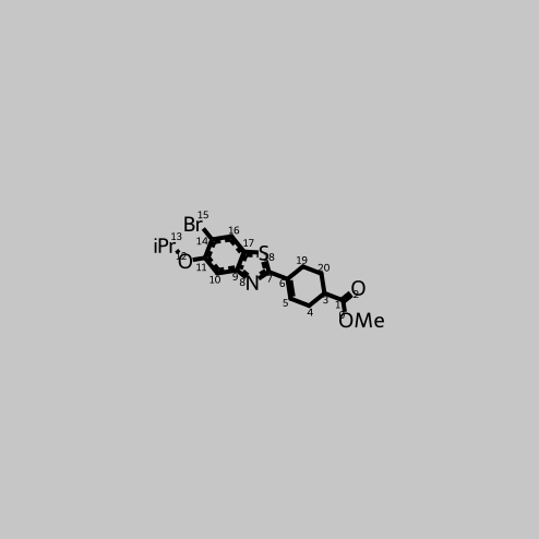 COC(=O)C1CC=C(c2nc3cc(OC(C)C)c(Br)cc3s2)CC1